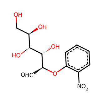 O=C[C@H](Oc1ccccc1[N+](=O)[O-])[C@@H](O)[C@H](O)[C@H](O)CO